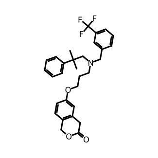 CC(C)(CN(CCCOc1ccc2c(c1)CC(=O)OC2)Cc1cccc(C(F)(F)F)c1)c1ccccc1